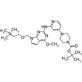 COc1nc(Nc2cc(N3CCN(C(=O)OC(C)(C)C)CC3)ccn2)nc2c1ccn2COCC[Si](C)(C)C